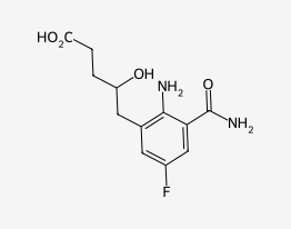 NC(=O)c1cc(F)cc(CC(O)CCC(=O)O)c1N